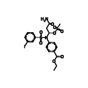 CCOC(=O)c1ccc(N(C(CC(N)=O)OS(C)(=O)=O)S(=O)(=O)c2cccc(I)c2)cc1